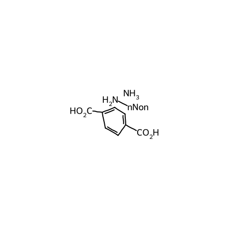 CCCCCCCCCN.N.O=C(O)c1ccc(C(=O)O)cc1